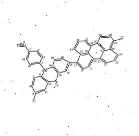 CCCCc1ccc(N2c3ccc(C)cc3Sc3cc(-c4ccc5c6cccc7c(C)ccc(c8cccc4c85)c76)ccc32)cc1